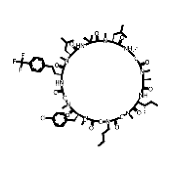 CCCCN1CC(=O)N(C)[C@@H](Cc2ccc(Cl)cc2)C(=O)N(C)CC(=O)N[C@@H](CCc2ccc(C(F)(F)F)cc2)C(=O)N(C)[C@@H](CC(C)C)C(=O)NC(C)(C)C(=O)N(C)[C@@H](CC(C)C)C(=O)N[C@H](C)CC(=O)N(C)[C@@H](C)C(=O)N[C@@H]([C@@H](C)CC)C(=O)N(C)CC1=O